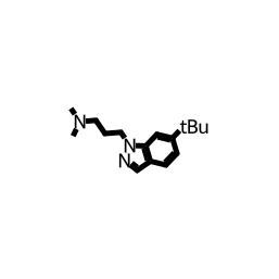 CN(C)CCCn1ncc2ccc(C(C)(C)C)cc21